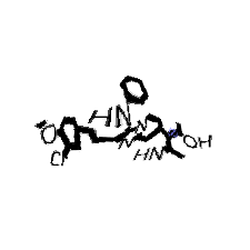 COc1ccc(CCc2nc3cc(/C(C(C)=N)=C(\C)O)ccn3c2NC2CCCCC2)cc1Cl